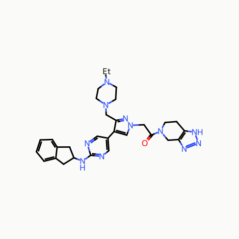 CCN1CCN(Cc2nn(CC(=O)N3CCc4[nH]nnc4C3)cc2-c2cnc(NC3Cc4ccccc4C3)nc2)CC1